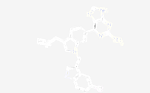 Nc1nc(-c2ccc3c(c2)N(Cc2csc4ccc(Cl)cc24)CC3CC(=O)O)c2nc[nH]c2n1